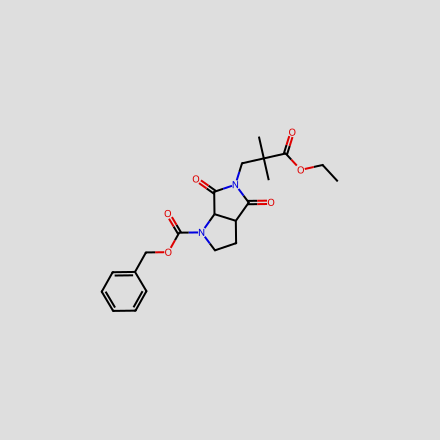 CCOC(=O)C(C)(C)CN1C(=O)C2CCN(C(=O)OCc3ccccc3)C2C1=O